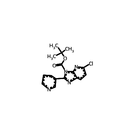 CC(C)(C)OC(=O)n1c(-c2cccnc2)nc2ccc(Cl)nc21